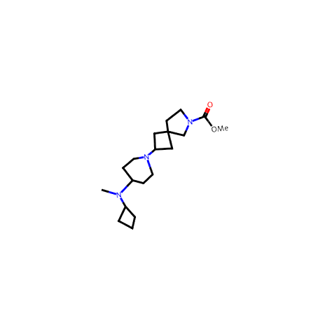 COC(=O)N1CCC2(CC(N3CCC(N(C)C4CCC4)CC3)C2)C1